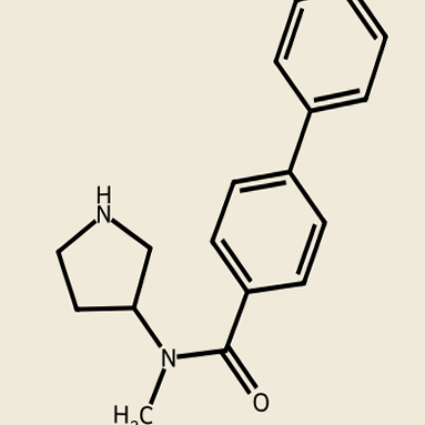 CN(C(=O)c1ccc(-c2ccccc2)cc1)C1CCNC1